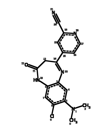 CN(C)c1cc2c(cc1Cl)NC(=O)CC(c1ccnc(C#N)c1)=N2